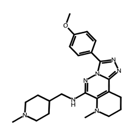 COc1ccc(-c2nnc3c4c(c(NCC5CCN(C)CC5)nn23)N(C)CCC4)cc1